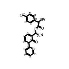 CC(C)C(C(=O)OC(C#N)C1=CC=CC(c2ccccn2)C1=O)c1ccc(Cl)cc1